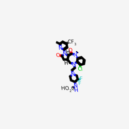 Cc1cc(C(F)(F)F)cc(N2C(=O)C[C@@H]3CN(CCN4CCC(NC(=O)O)C(F)(F)C4)c4c(Cl)cccc4N(C)C(=O)[C@H]32)n1